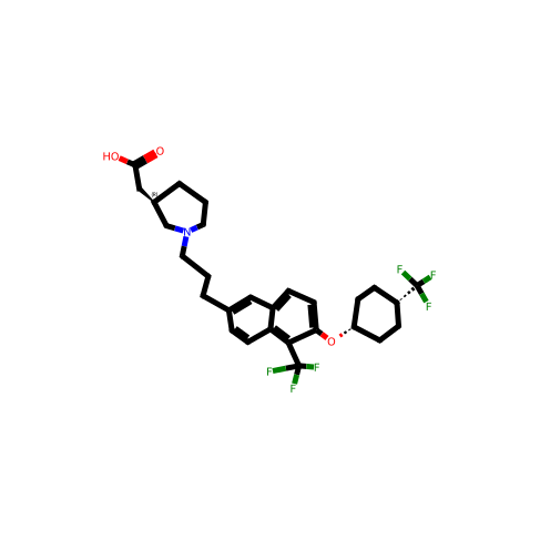 O=C(O)C[C@H]1CCCN(CCCc2ccc3c(C(F)(F)F)c(O[C@H]4CC[C@@H](C(F)(F)F)CC4)ccc3c2)C1